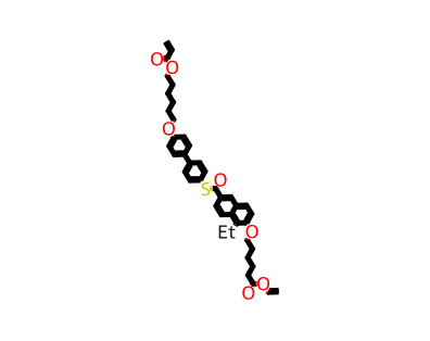 C=COC(=O)CCCCCOc1ccc2cc(C(=O)Sc3ccc(-c4ccc(OCCCCCCOC(=O)C=C)cc4)cc3)ccc2c1CC